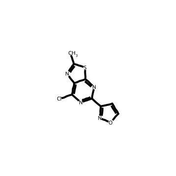 Cc1nc2c(Cl)nc(-c3ccon3)nc2s1